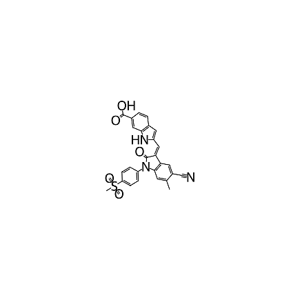 Cc1cc2c(cc1C#N)C(=Cc1cc3ccc(C(=O)O)cc3[nH]1)C(=O)N2c1ccc(S(C)(=O)=O)cc1